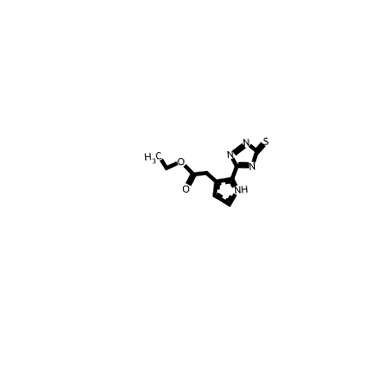 CCOC(=O)Cc1cc[nH]c1C1=NC(=S)N=N1